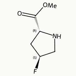 COC(=O)[C@H]1C[C@H](F)CN1